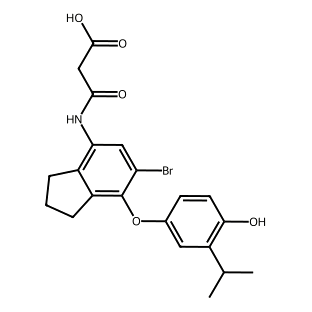 CC(C)c1cc(Oc2c(Br)cc(NC(=O)CC(=O)O)c3c2CCC3)ccc1O